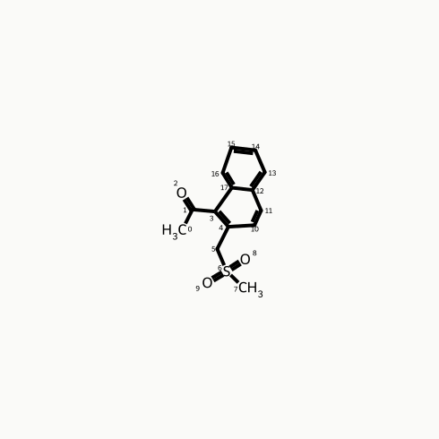 CC(=O)c1c(CS(C)(=O)=O)ccc2ccccc12